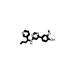 CCCC(Nc1cc(-c2ccc(O)c(OC)c2)ncn1)c1cccnc1